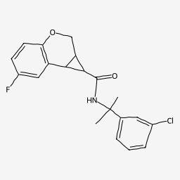 CC(C)(NC(=O)C1C2COc3ccc(F)cc3C21)c1cccc(Cl)c1